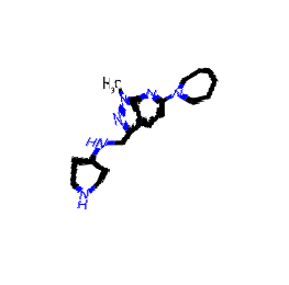 Cn1nc(CNC2CCNCC2)c2ccc(N3CCCCCC3)nc21